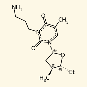 CC[C@H]1O[C@@H](n2cc(C)c(=O)n(CCCN)c2=O)C[C@@H]1C